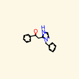 O=C(Cc1[nH]cc[n+]1Cc1ccccc1)c1ccccc1